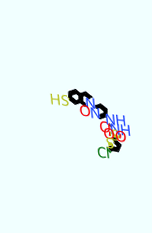 O=C(Nc1ccc(-n2ccc3ccc(S)cc3c2=O)nc1)NS(=O)(=O)c1ccc(Cl)s1